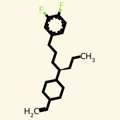 C=CC1CCC([C@H](CCC)CCCc2ccc(F)c(F)c2)CC1